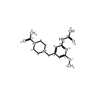 COc1cc(CN2CCN(C(C)=O)CC2)cc(NC(=O)O)n1